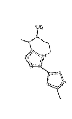 Cc1nsc(-c2ncc3n2CCN(C=O)C3C)n1